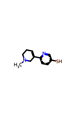 CN1CCC=C(c2ccc(S)cn2)C1